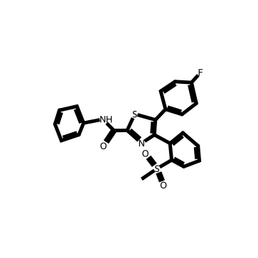 CS(=O)(=O)c1ccccc1-c1nc(C(=O)Nc2ccccc2)sc1-c1ccc(F)cc1